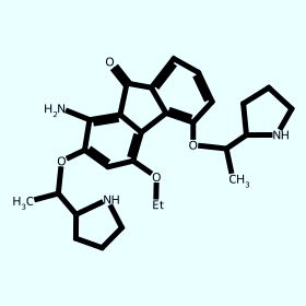 CCOc1cc(OC(C)C2CCCN2)c(N)c2c1-c1c(OC(C)C3CCCN3)cccc1C2=O